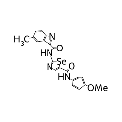 COc1ccc(NC(=O)c2cnc(NC(=O)C3=Nc4ccc(C)cc43)[se]2)cc1